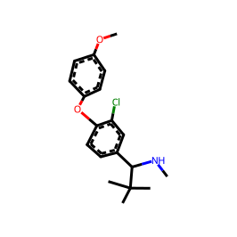 CNC(c1ccc(Oc2ccc(OC)cc2)c(Cl)c1)C(C)(C)C